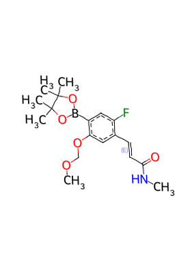 CNC(=O)/C=C/c1cc(OCOC)c(B2OC(C)(C)C(C)(C)O2)cc1F